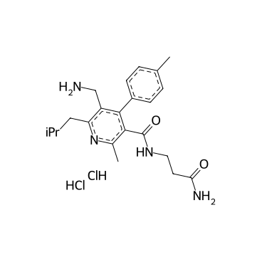 Cc1ccc(-c2c(CN)c(CC(C)C)nc(C)c2C(=O)NCCC(N)=O)cc1.Cl.Cl